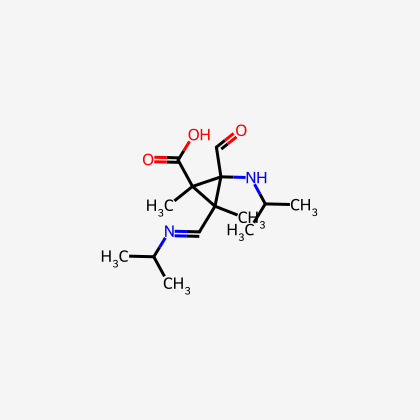 CC(C)N=CC1(C)C(C=O)(NC(C)C)C1(C)C(=O)O